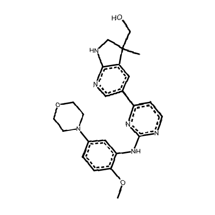 COc1ccc(N2CCOCC2)cc1Nc1nccc(-c2cnc3c(c2)C(C)(CO)CN3)n1